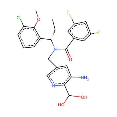 CC[C@@H](c1cccc(Cl)c1OC)N(Cc1cnc(C(O)O)c(N)c1)C(=O)c1cc(F)cc(F)c1